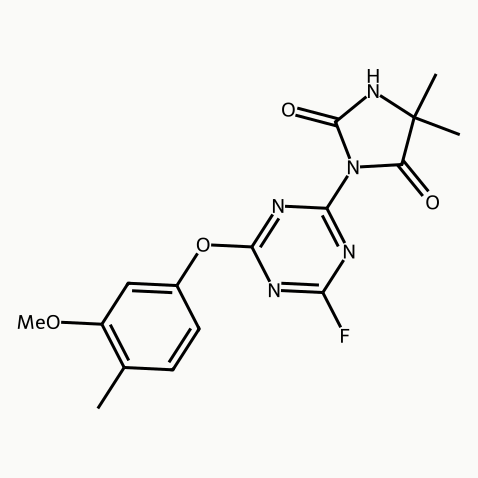 COc1cc(Oc2nc(F)nc(N3C(=O)NC(C)(C)C3=O)n2)ccc1C